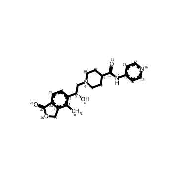 Cc1c([C@@H](O)CN2CCC(C(=O)Nc3ccncc3)CC2)ccc2c1COC2=O